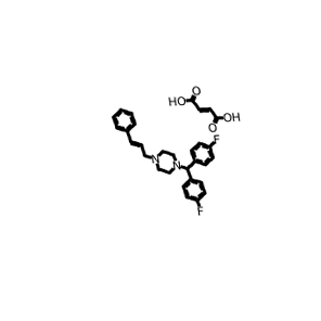 Fc1ccc(C(c2ccc(F)cc2)N2CCN(CC=Cc3ccccc3)CC2)cc1.O=C(O)C=CC(=O)O